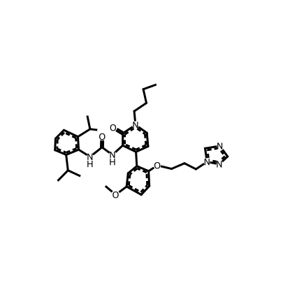 CCCCn1ccc(-c2cc(OC)ccc2OCCCn2cncn2)c(NC(=O)Nc2c(C(C)C)cccc2C(C)C)c1=O